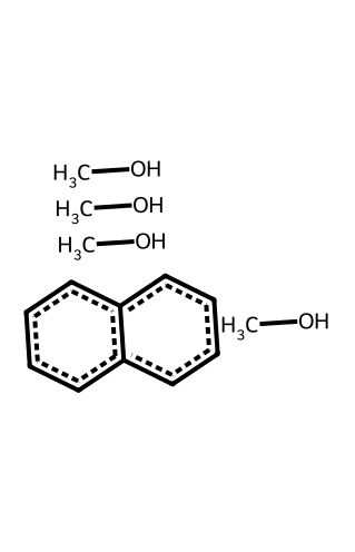 CO.CO.CO.CO.c1ccc2ccccc2c1